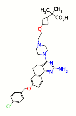 CC(C)(C(=O)O)C1CC(OCCN2CCN(c3nc(N)nc4c3CCc3cc(OCc5ccc(Cl)cc5)ccc3-4)CC2)C1